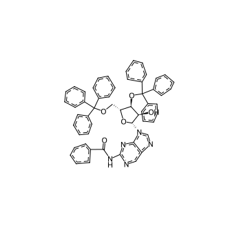 O=C(Nc1ncc2ncn([C@@H]3O[C@H](COC(c4ccccc4)(c4ccccc4)c4ccccc4)[C@@H](OC(c4ccccc4)(c4ccccc4)c4ccccc4)[C@H]3O)c2n1)c1ccccc1